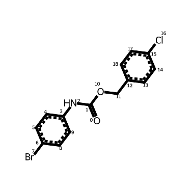 O=C(Nc1ccc(Br)cc1)OCc1ccc(Cl)cc1